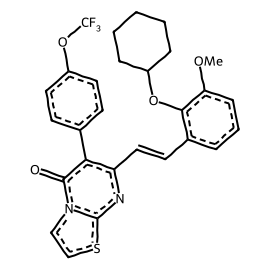 COc1cccc(C=Cc2nc3sccn3c(=O)c2-c2ccc(OC(F)(F)F)cc2)c1OC1CCCCC1